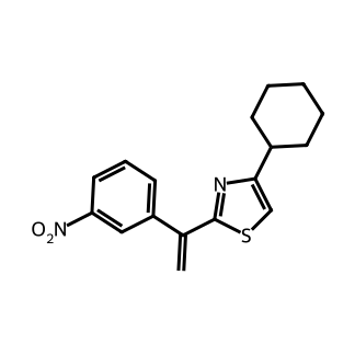 C=C(c1cccc([N+](=O)[O-])c1)c1nc(C2CCCCC2)cs1